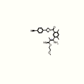 COCCOC(=N)/C(C)=C(\N)c1cc(C(=O)N2CC(c3ccc(C#N)cc3)C2)c(C)cc1C